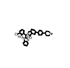 CN1CCC(c2ccc(-c3ccc4c(c3)C(=O)N(C(c3nc5ccccc5[nH]3)c3cccc(Cl)c3O)C4)cc2)CC1